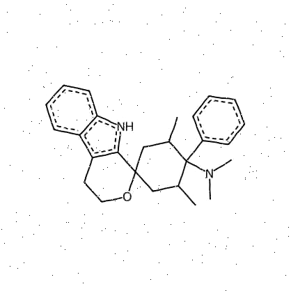 CC1CC2(CC(C)C1(c1ccccc1)N(C)C)OCCc1c2[nH]c2ccccc12